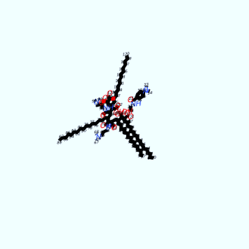 CCCCCCCCCCCCCCCCC(C)CC(C(=O)OCCNC(=O)c1ccc(N(C)C)cc1)C(C(=O)O)C(CCCCCCCCCCCCCCCC)CC1C(=O)N(CCCN(C)C)C(=O)C1C(CCCCCCCCCCCCCCCC)CC(C(=O)NCCCN(C)C)C(C(=O)O)C(CCCCCCCCCCCCCCCC)CC1C(=O)OC(=O)C1C